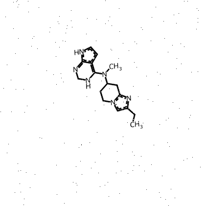 CCc1cn2c(n1)CC(N(C)C1=c3cc[nH]c3=NCN1)CC2